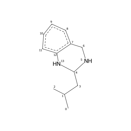 CC(C)CC1NCc2ccccc2N1